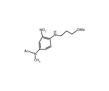 COCCCNc1ccc(N(C)C(C)=O)cc1[N+](=O)[O-]